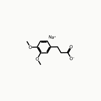 COc1ccc(CCC(=O)[O-])cc1OC.[Na+]